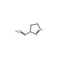 C=CN1C=NCC1